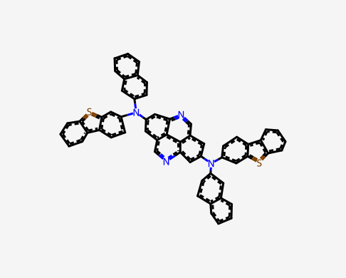 c1ccc2cc(N(c3cc4cnc5cc(N(c6ccc7ccccc7c6)c6ccc7c(c6)sc6ccccc67)cc6cnc(c3)c4c65)c3ccc4c(c3)sc3ccccc34)ccc2c1